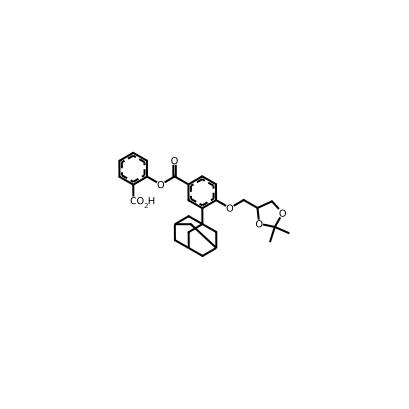 CC1(C)OCC(COc2ccc(C(=O)Oc3ccccc3C(=O)O)cc2C23CC4CC(CC(C4)C2)C3)O1